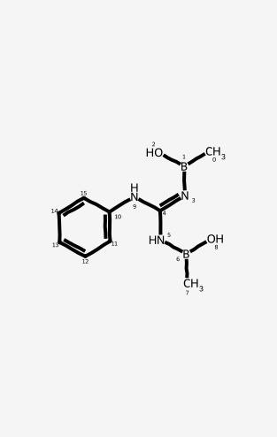 CB(O)/N=C(/NB(C)O)Nc1ccccc1